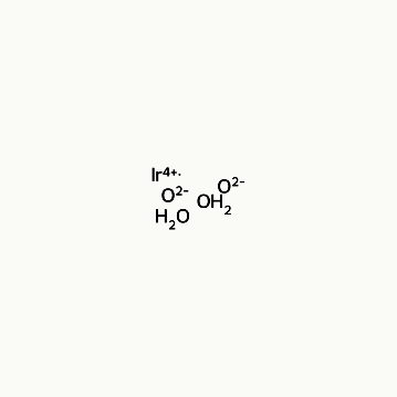 O.O.[Ir+4].[O-2].[O-2]